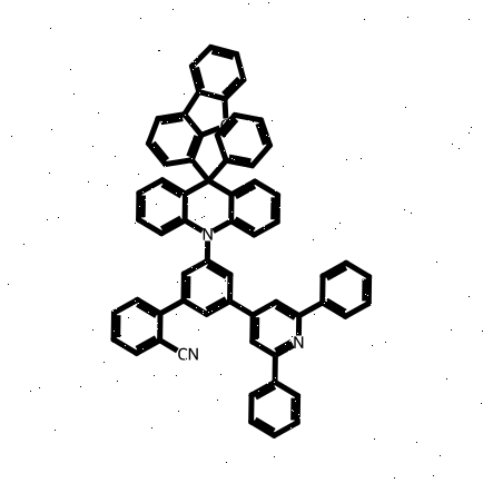 N#Cc1ccccc1-c1cc(-c2cc(-c3ccccc3)nc(-c3ccccc3)c2)cc(N2c3ccccc3C(c3ccccc3)(c3cccc4c3oc3ccccc34)c3ccccc32)c1